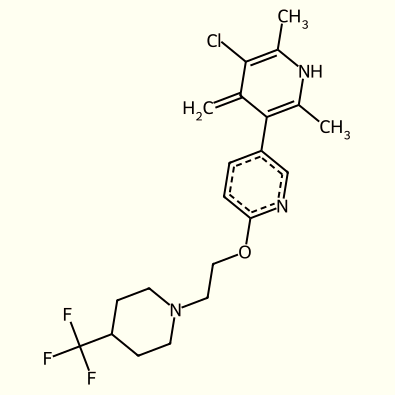 C=C1C(Cl)=C(C)NC(C)=C1c1ccc(OCCN2CCC(C(F)(F)F)CC2)nc1